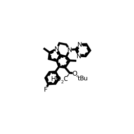 Cc1c([C@H](OC(C)(C)C)C(=O)O)c(-c2ccc(F)cc2)c2cc(C)n3c2c1N(c1ncccn1)CC3